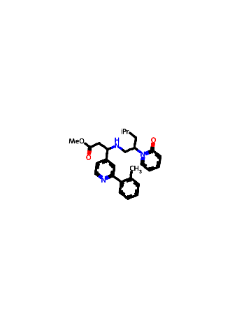 COC(=O)CC(NCC(CC(C)C)n1ccccc1=O)c1ccnc(-c2ccccc2C)c1